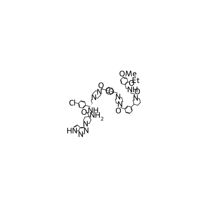 CCOc1cc(OC)ccc1CNCC(=O)N1CCCC(c2cccc(C(=O)N3CCN(CC45CCC(C(=O)N6CCN(CC[C@H](NC(=O)C7(N)CCN(c8ncnc9[nH]ccc89)CC7)c7ccc(Cl)cc7)CC6)(CC4)CO5)CC3)c2)C1